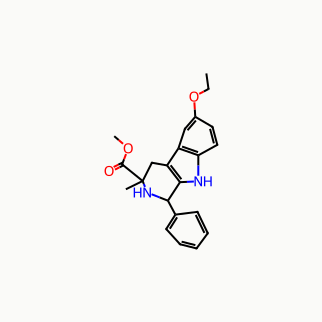 CCOc1ccc2[nH]c3c(c2c1)CC(C)(C(=O)OC)NC3c1ccccc1